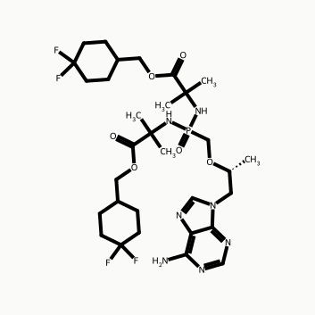 C[C@H](Cn1cnc2c(N)ncnc21)OCP(=O)(NC(C)(C)C(=O)OCC1CCC(F)(F)CC1)NC(C)(C)C(=O)OCC1CCC(F)(F)CC1